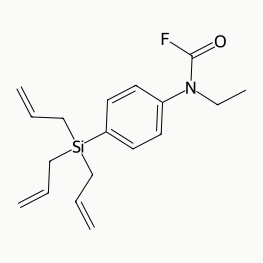 C=CC[Si](CC=C)(CC=C)c1ccc(N(CC)C(=O)F)cc1